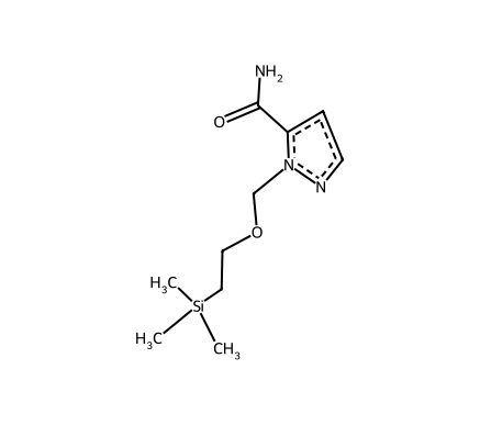 C[Si](C)(C)CCOCn1nccc1C(N)=O